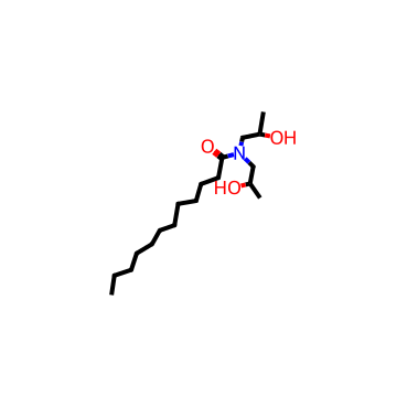 CCCCCCCCCCCC(=O)N(CC(C)O)CC(C)O